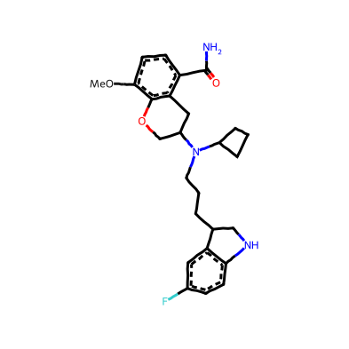 COc1ccc(C(N)=O)c2c1OCC(N(CCCC1CNc3ccc(F)cc31)C1CCC1)C2